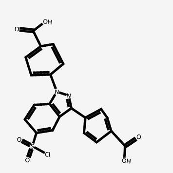 O=C(O)c1ccc(-c2nn(-c3ccc(C(=O)O)cc3)c3ccc(S(=O)(=O)Cl)cc23)cc1